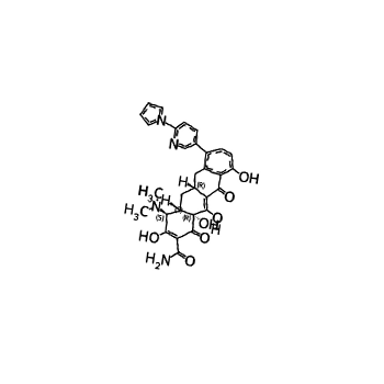 CN(C)[C@@H]1C(O)=C(C(N)=O)C(=O)[C@]2(O)C(O)=C3C(=O)c4c(O)ccc(-c5ccc(-n6cccc6)nc5)c4C[C@H]3C[C@@H]12